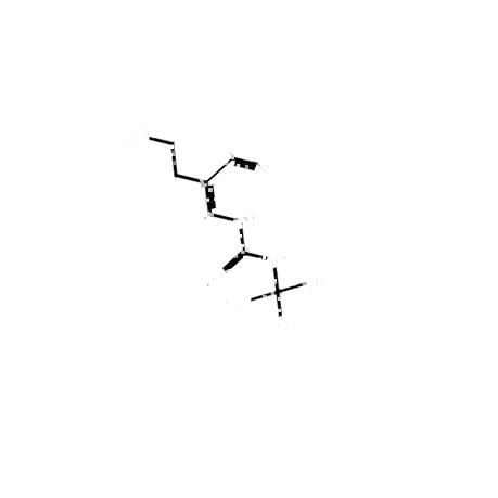 CC(C)(C)OC(=O)N/C=C(\C=N)CCO